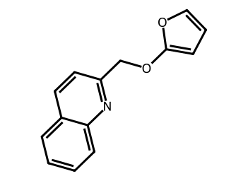 c1coc(OCc2ccc3ccccc3n2)c1